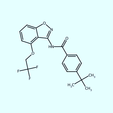 CC(C)(C)c1ccc(C(=O)Nc2noc3cccc(OCC(F)(F)F)c23)cc1